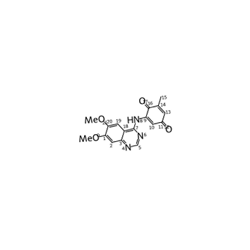 COc1cc2ncnc(NC3=CC(=O)C=C(C)C3=O)c2cc1OC